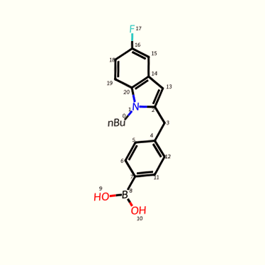 CCCCn1c(Cc2ccc(B(O)O)cc2)cc2cc(F)ccc21